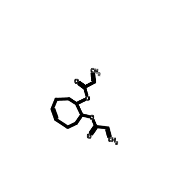 C=CC(=O)OC1CC/C=C\CCC1OC(=O)C=C